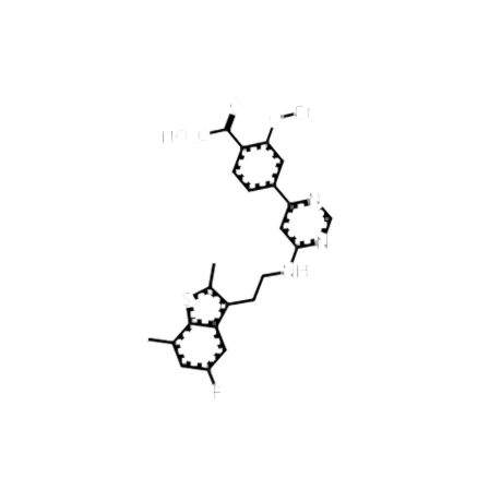 CCOc1cc(-c2cc(NCCc3c(C)sc4c(C)cc(F)cc34)ncn2)ccc1C(=O)C(=O)O